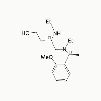 CCN[C@@H](CCO)CN(CC)[C@@H](C)c1ccccc1OC